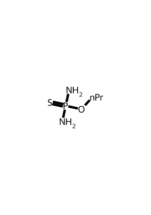 CCCOP(N)(N)=S